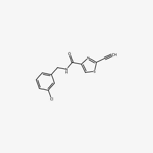 C#Cc1nc(C(=O)NCc2cccc(Cl)c2)cs1